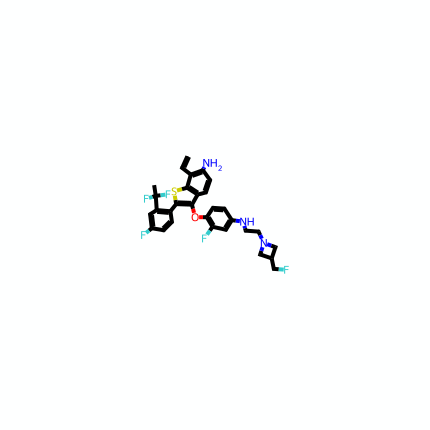 C=Cc1c(N)ccc2c(Oc3ccc(NCCN4CC(CF)C4)cc3F)c(-c3ccc(F)cc3C(C)(F)F)sc12